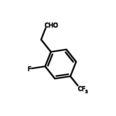 O=CCc1ccc(C(F)(F)F)cc1F